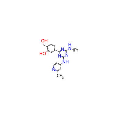 CC(C)Nc1nc(Nc2ccnc(C(F)(F)F)c2)nc(-c2ccc(CO)c(O)c2)n1